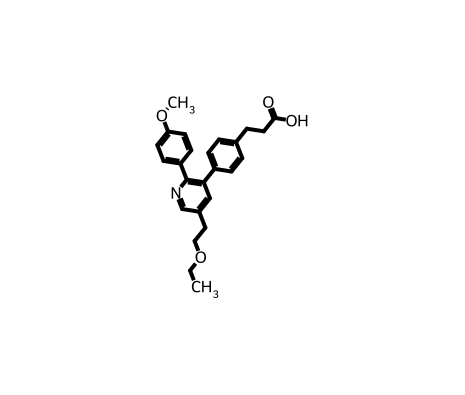 CCOCCc1cnc(-c2ccc(OC)cc2)c(-c2ccc(CCC(=O)O)cc2)c1